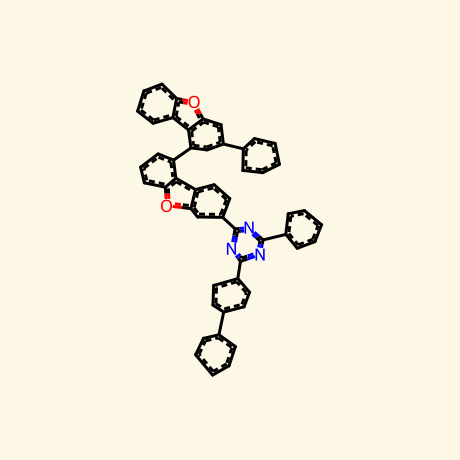 c1ccc(-c2ccc(-c3nc(-c4ccccc4)nc(-c4ccc5c(c4)oc4cccc(-c6cc(-c7ccccc7)cc7oc8ccccc8c67)c45)n3)cc2)cc1